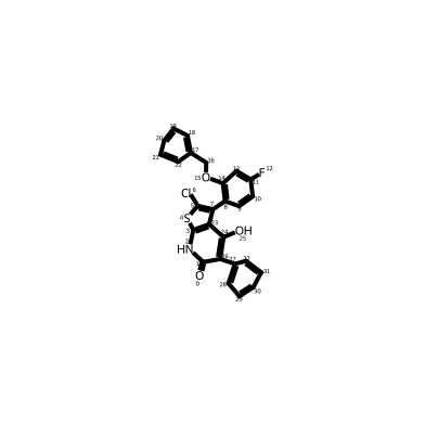 O=c1[nH]c2sc(Cl)c(-c3ccc(F)cc3OCc3ccccc3)c2c(O)c1-c1ccccc1